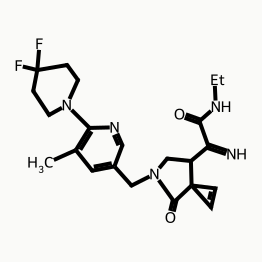 CCNC(=O)C(=N)C1CN(Cc2cnc(N3CCC(F)(F)CC3)c(C)c2)C(=O)C12C=C2